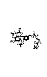 COC(=O)C[C@H]1O[C@@H](Oc2ccc(COC(=O)N(C)CCN(C)C(=O)OC(C)(C)C)cc2N)[C@H](OC(C)=O)[C@@H](O)[C@@H]1OC(C)=O